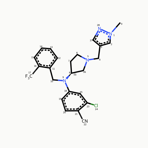 Cn1cc(CN2CC[C@H](N(Cc3ccccc3C(F)(F)F)c3ccc(C#N)c(Cl)c3)C2)cn1